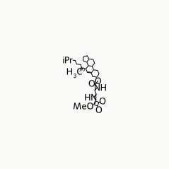 COc1c(NCCNC(=O)OC2CCC3C(=CC([C@H](C)CCCC(C)C)C4C5CCCC5CCC34)C2)c(=O)c1=O